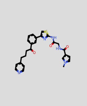 Cn1ccc(C(=O)NCC(=O)Nc2nc(-c3cccc(C(=O)CCCc4ccncc4)c3)cs2)c1